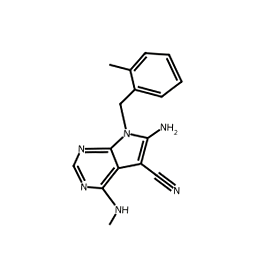 CNc1ncnc2c1c(C#N)c(N)n2Cc1ccccc1C